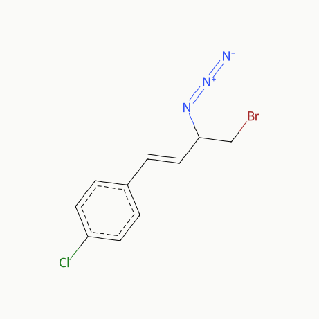 [N-]=[N+]=NC(/C=C/c1ccc(Cl)cc1)CBr